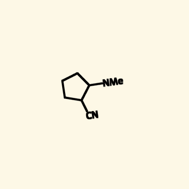 CNC1CCCC1C#N